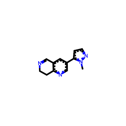 Cn1nccc1-c1cnc2c(c1)C=NCC2